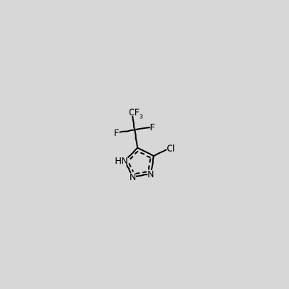 FC(F)(F)C(F)(F)c1[nH]nnc1Cl